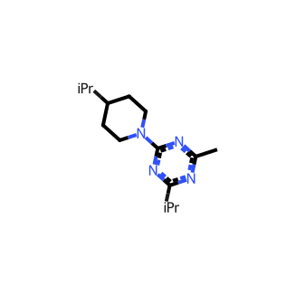 Cc1nc(C(C)C)nc(N2CCC(C(C)C)CC2)n1